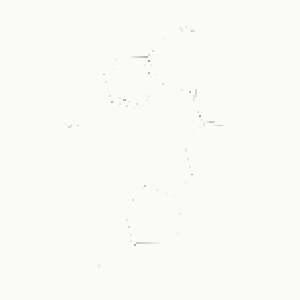 COc1ccc(OC)c(NC(=O)OCC2CCN(C(=O)O)CC2)c1